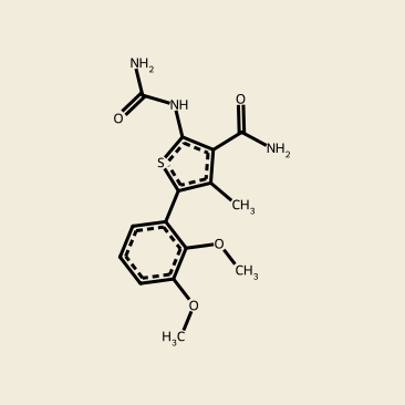 COc1cccc(-c2sc(NC(N)=O)c(C(N)=O)c2C)c1OC